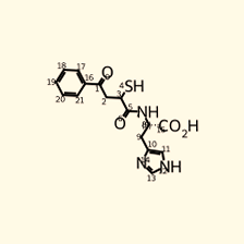 O=C(CC(S)C(=O)N[C@@H](Cc1c[nH]cn1)C(=O)O)c1ccccc1